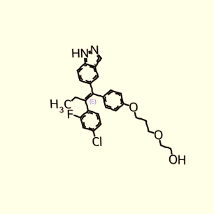 CC/C(=C(/c1ccc(OCCCOCCO)cc1)c1ccc2[nH]ncc2c1)c1ccc(Cl)cc1F